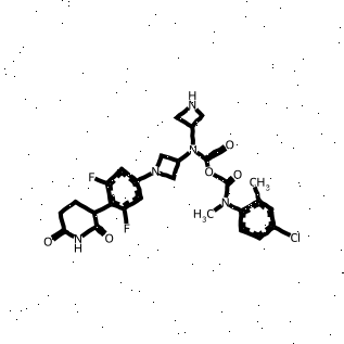 Cc1cc(Cl)ccc1N(C)C(=O)OC(=O)N(C1CNC1)C1CN(c2cc(F)c(C3CCC(=O)NC3=O)c(F)c2)C1